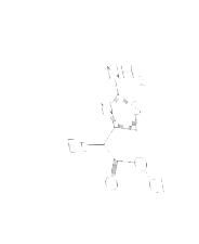 CCC(C(=O)OCl)c1csc(N)n1